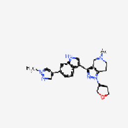 CC(=O)N1CCc2c(c(-c3c[nH]c4cc(-c5cnn(C)c5)ccc34)nn2C2CCOC2)C1